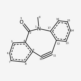 CN1C(=O)c2ccccc2C#Cc2ccccc21